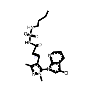 CCCCNS(=O)(=O)NC(=O)/C=C/c1c(C)nn(C)c1-n1cc(Cl)c2cccnc21